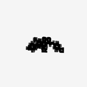 CCn1cc(C(=O)C=Cc2ccc(Cl)cc2)c(=O)c2cc(F)c(N3CCN(C)CC3)nc21